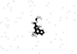 CCOC(=O)c1cc2c(OC)cc3c(c2[nH]1)CCC3